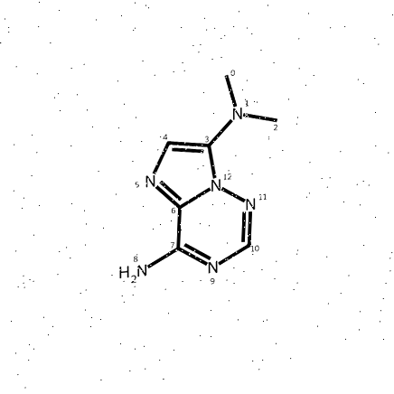 CN(C)c1cnc2c(N)ncnn12